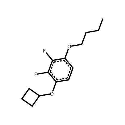 CCCCOc1ccc(OC2CCC2)c(F)c1F